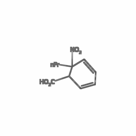 CCCC1([N+](=O)[O-])C=CC=CC1C(=O)O